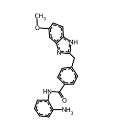 COc1ccc2[nH]c(Cc3ccc(C(=O)Nc4ccccc4N)cc3)nc2c1